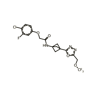 O=C(COc1ccc(Cl)c(F)c1)NC12CC(c3nnc(COC(F)(F)F)o3)(C1)C2